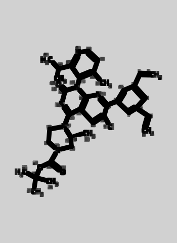 C=Cc1cc(C=C)cc(-c2nc3c(cc2Cl)c(N2CCN(C(=O)OC(C)(C)C)C[C@@H]2C)nc(=O)n3-c2c(C)ccnc2C(C)C)c1